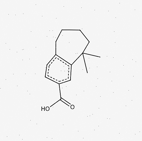 CC1(C)CCCCc2ccc(C(=O)O)cc21